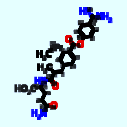 C/C(=C\c1ccc(C(=O)Oc2ccc(C(=N)N)cc2)cc1)C(=O)N[C@@H](CCC(N)=O)C(=O)O.CCCC